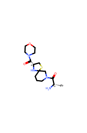 CC(C)[C@H](N)C(=O)N1CCCC2(C1)N[C@H](C(=O)N1CCOCC1)CS2